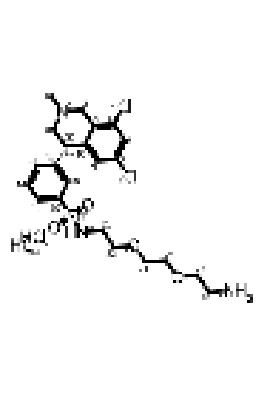 CN1Cc2c(Cl)cc(Cl)cc2[C@H](c2cccc(S(=O)(=O)NCCOCCOCCN)c2)C1.Cl.Cl